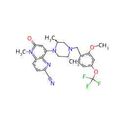 COc1cc(OC(F)(F)F)ccc1CN1C[C@H](C)N(c2cc(=O)n(C)c3ccc(C#N)nc23)C[C@H]1C